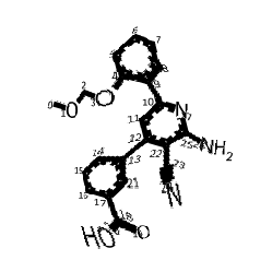 COCOc1ccccc1-c1cc(-c2cccc(C(=O)O)c2)c(C#N)c(N)n1